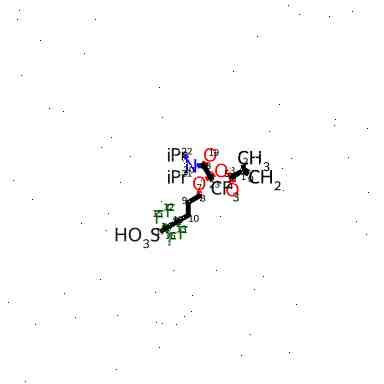 C=C(C)C(=O)OC(OCCCC(F)(F)C(F)(F)S(=O)(=O)O)(C(=O)N(C(C)C)C(C)C)C(F)(F)F